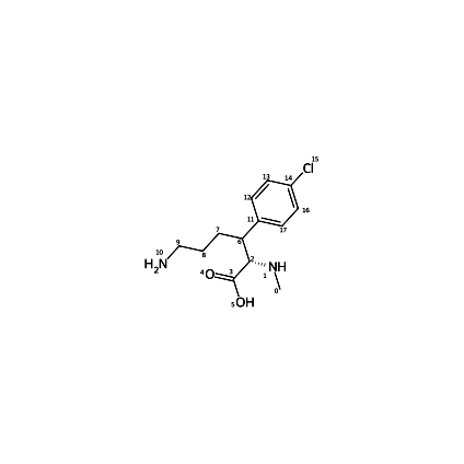 CN[C@H](C(=O)O)C(CCCN)c1ccc(Cl)cc1